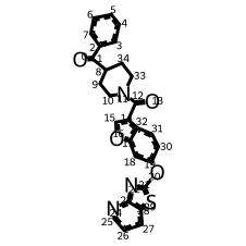 O=C(c1ccccc1)C1CCN(C(=O)c2coc3cc(Oc4nc5ncccc5s4)ccc23)CC1